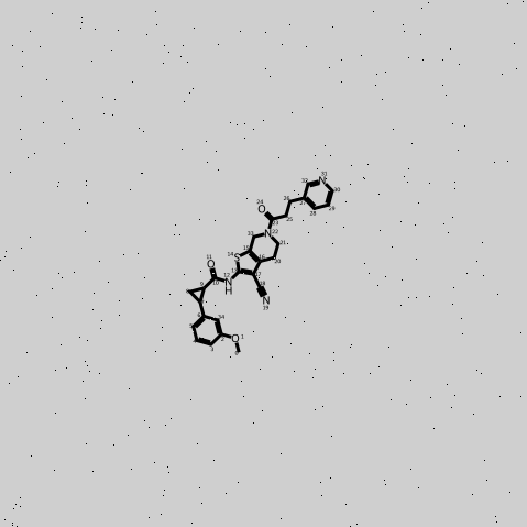 COc1cccc(C2CC2C(=O)Nc2sc3c(c2C#N)CCN(C(=O)CCc2cccnc2)C3)c1